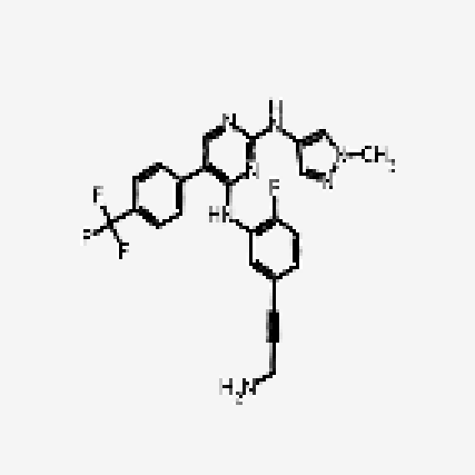 Cn1cc(Nc2ncc(-c3ccc(C(F)(F)F)cc3)c(Nc3cc(C#CCN)ccc3F)n2)cn1